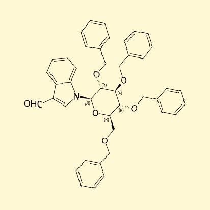 O=Cc1cn([C@@H]2O[C@H](COCc3ccccc3)[C@@H](OCc3ccccc3)[C@H](OCc3ccccc3)[C@H]2OCc2ccccc2)c2ccccc12